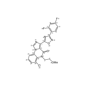 COCCn1c(=O)c2c(-c3nc(-c4ccc(F)cc4F)no3)ncn2c2cccc(Cl)c21